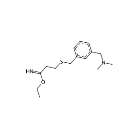 CCOC(=N)CCSCc1cccc(CN(C)C)c1